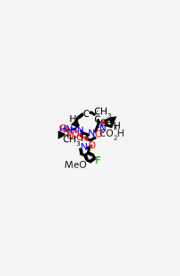 COc1cc(F)cc2c(O[C@@H]3C[C@H]4C(=O)N[C@]5(C(=O)NS(=O)(=O)C6(C)CC6)C[C@H]5/C=C\CC[C@H](C)C[C@@H](C)[C@H](N(C(=O)O)[C@H]5CC6C[C@H]6C5)C(=O)N4C3)nccc12